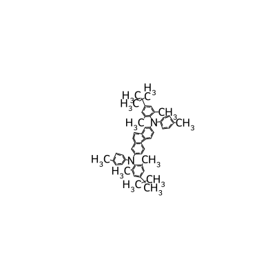 Cc1ccc(N(c2ccc3c(ccc4cc(N(c5ccc(C)cc5)c5c(C)cc(C(C)(C)C)cc5C)ccc43)c2)c2c(C)cc(C(C)(C)C)cc2C)cc1